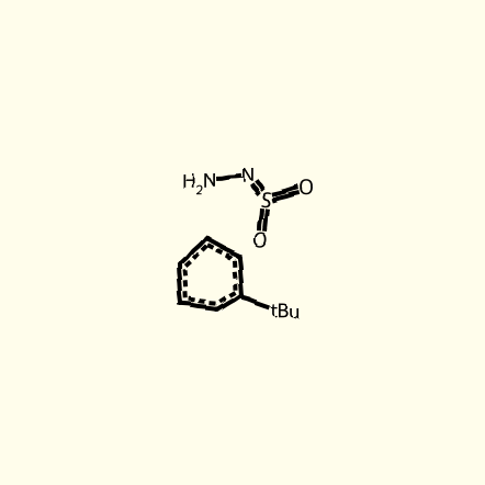 CC(C)(C)c1ccccc1.NN=S(=O)=O